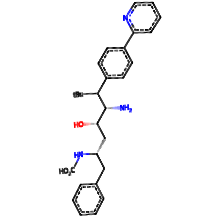 CC(C)(C)C(c1ccc(-c2ccccn2)cc1)[C@H](N)[C@@H](O)C[C@H](Cc1ccccc1)NC(=O)O